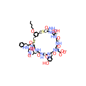 CCCCCOc1cc2cc(c1)CSC[C@H](NC(=O)[C@H](Cc1ccccc1)NC(=O)/C=N/OC)C(=O)N[C@@H](CC(C)C)C(=O)NCC(=O)N[C@@H](Cc1ccc(O)cc1)C(=O)N[C@@H](CCC(=O)OOC)C(=O)N[C@@H](C)C(=O)N[C@@H]([C@@H](C)O)C(=O)N[C@H](C(N)=O)CSC2